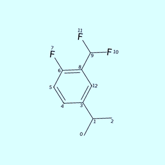 CC(C)c1ccc(F)c(C(F)F)c1